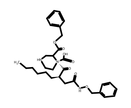 CCCCCC[C@H](CC(=O)NOCc1ccccc1)C(=O)[N@+]1(C(=O)O)CCNCC1C(=O)OCc1ccccc1